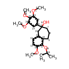 COc1cc(C2(O)CCCc3c(ccc(OC)c3OC(C)C)C2)cc(OC)c1OC